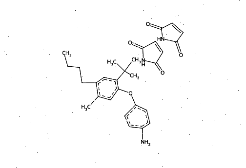 CCCCc1cc(C(C)(C)C)c(Oc2ccc(N)cc2)cc1C.O=C1C=CC(=O)N1.O=C1C=CC(=O)N1